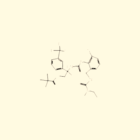 CCN(C)C(=O)NCc1cccc(N)c1NC(=S)NC(C)(COC(=O)C(C)(C)C)c1cccc(C(F)(F)F)c1